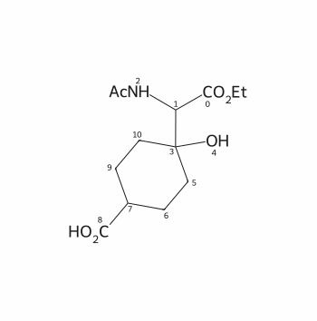 CCOC(=O)C(NC(C)=O)C1(O)CCC(C(=O)O)CC1